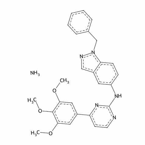 COc1cc(-c2ccnc(Nc3ccc4c(cnn4Cc4ccccc4)c3)n2)cc(OC)c1OC.N